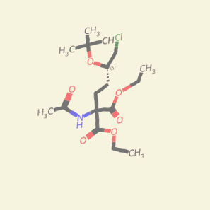 CCOC(=O)C(CC[C@@H](CCl)OC(C)(C)C)(NC(C)=O)C(=O)OCC